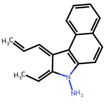 C=C/C=c1\c(=C/C)n(N)c2ccc3ccccc3c12